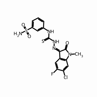 CN1C(=O)C(=NNC(=S)Nc2cccc(S(N)(=O)=O)c2)c2cc(F)c(Cl)cc21